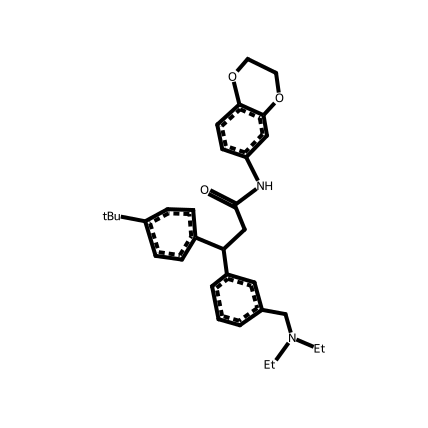 CCN(CC)Cc1cccc(C(CC(=O)Nc2ccc3c(c2)OCCO3)c2ccc(C(C)(C)C)cc2)c1